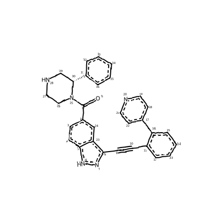 O=C(c1ccc2[nH]nc(C#Cc3ccccc3-c3ccncc3)c2c1)N1CCNC[C@@H]1c1ccccc1